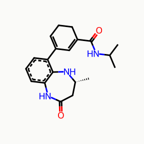 CC(C)NC(=O)C1=CC(c2cccc3c2N[C@H](C)CC(=O)N3)=CCC1